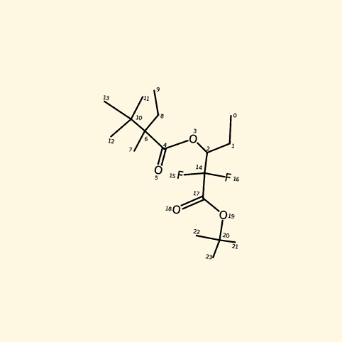 CCC(OC(=O)C(C)(CC)C(C)(C)C)C(F)(F)C(=O)OC(C)(C)C